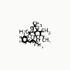 CC[C@H]1O[C@@H](O/C(=C\c2ccccc2)C(C)=O)[C@H](OC(C)=O)[C@@H](OC(C)=O)C1C